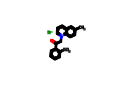 Cc1ccc2c(ccc[n+]2CC(=O)c2ccccc2[N+](=O)[O-])c1.[Br-]